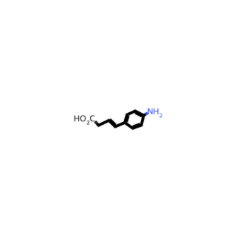 Nc1ccc(C=CCC(=O)O)cc1